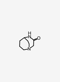 O=C1CN2CCCC(CC2)N1